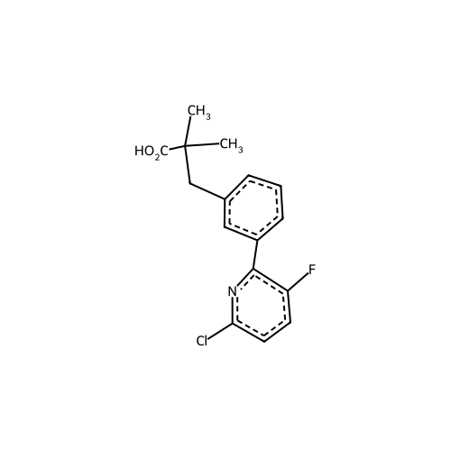 CC(C)(Cc1cccc(-c2nc(Cl)ccc2F)c1)C(=O)O